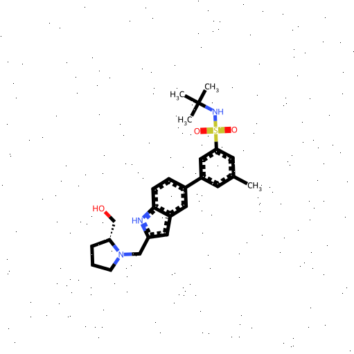 Cc1cc(-c2ccc3[nH]c(CN4CCC[C@@H]4CO)cc3c2)cc(S(=O)(=O)NC(C)(C)C)c1